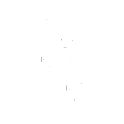 COc1cc(/C=C(\CCC(=O)O)c2nc3ccccc3s2)ccc1OCc1ccccc1